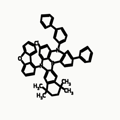 CC1(C)CCC(C)(C)c2cc3c(cc21)B1c2ccc(-c4ccccc4)cc2N(c2cccc(-c4ccccc4)c2)c2cc(Cl)cc(c21)N3c1cccc2oc3ccccc3c12